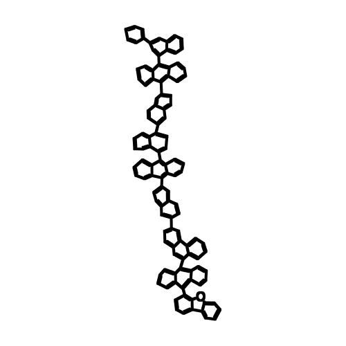 c1ccc(-c2cc(-c3c4ccccc4c(-c4ccc5cc(-c6ccc(-c7c8ccccc8c(-c8ccc9cc(-c%10ccc%11cc(-c%12c%13ccccc%13c(-c%13cccc%14c%13oc%13ccccc%13%14)c%13ccccc%12%13)c%12ccccc%12c%11c%10)ccc9c8)c8ccccc78)c7ccccc67)ccc5c4)c4ccccc34)c3ccccc3c2)cc1